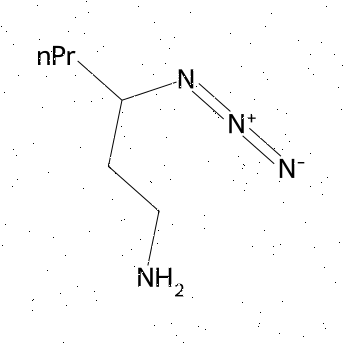 CCCC(CCN)N=[N+]=[N-]